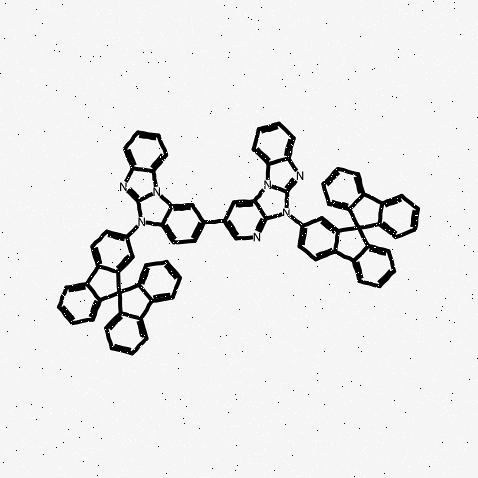 c1ccc2c(c1)-c1ccccc1C21c2ccccc2-c2ccc(-n3c4ccc(-c5cnc6c(c5)n5c7ccccc7nc5n6-c5ccc6c(c5)C5(c7ccccc7-c7ccccc75)c5ccccc5-6)cc4n4c5ccccc5nc34)cc21